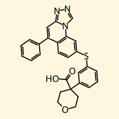 O=C(O)C1(c2cccc(Sc3ccc4c(-c5ccccc5)cc5nncn5c4c3)c2)CCOCC1